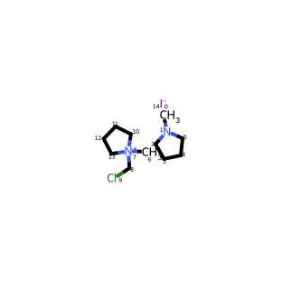 CN1CCCC1.C[N+]1(CCl)CCCC1.[I-]